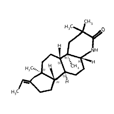 CC=C1CC[C@H]2[C@@H]3CC[C@H]4NC(=O)C(C)(C)C[C@]4(C)[C@H]3CC[C@]12C